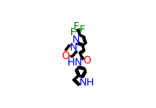 O=C(/C=C/c1ccc(C(F)(F)F)nc1N1CCOCC1)Nc1ccc2[nH]ccc2c1